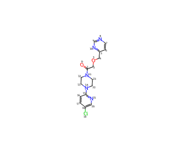 O=C(COCc1ccncn1)N1CCN(c2ccc(Cl)cn2)CC1